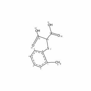 Cc1ccccc1SC(C(=O)O)C(=O)O